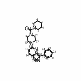 O=C(N1CCCCC1)N1CCN(c2ccc3nnc(-c4ccccc4)n3n2)CC1